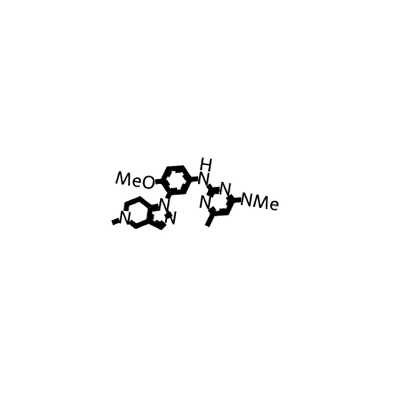 CNc1cc(C)nc(Nc2ccc(OC)c(-n3ncc4c3CCN(C)C4)c2)n1